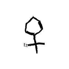 CCC(C)(C)C1=CC[CH]C=C1